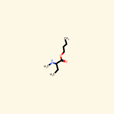 CCCCOC(=O)C(CC)NC